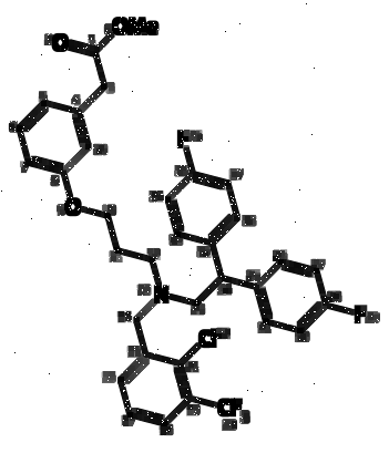 COC(=O)Cc1cccc(OCCCN(Cc2cccc(C(F)(F)F)c2Cl)CC(c2ccc(F)cc2)c2ccc(F)cc2)c1